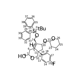 CC(C)(C)[Si](OC[C@@H]1[C@H]2CC(O)OC[C@@]2(c2ccc(F)cc2)C[C@H]1OC1CCCCO1)(c1ccccc1)c1ccccc1